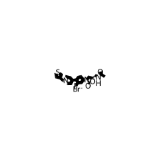 CC(=O)NC[C@H]1CN(c2ccc(-c3cc[n+](Cc4ccsc4)cc3)c(F)c2)C(=O)O1.[Br-]